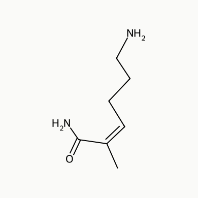 CC(=CCCCN)C(N)=O